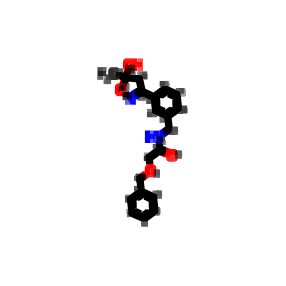 O=C(COCc1ccccc1)NCc1cccc(C2=NOC(O)(C(F)(F)F)C2)c1